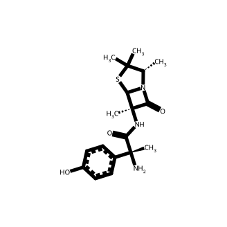 C[C@@H]1N2C(=O)[C@@](C)(NC(=O)[C@](C)(N)c3ccc(O)cc3)C2SC1(C)C